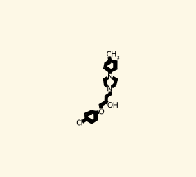 Cc1ccc(N2CCN(CCC(O)COc3ccc(Cl)cc3)CC2)cc1